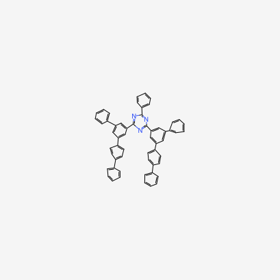 c1ccc(-c2ccc(-c3cc(-c4ccccc4)cc(-c4nc(-c5ccccc5)nc(-c5cc(-c6ccccc6)cc(-c6ccc(-c7ccccc7)cc6)c5)n4)c3)cc2)cc1